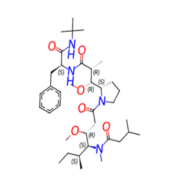 CC[C@H](C)[C@@H]([C@@H](CC(=O)N1CCC[C@H]1[C@H](OC)[C@@H](C)C(=O)N[C@@H](Cc1ccccc1)C(=O)NC(C)(C)C)OC)N(C)C(=O)CC(C)C